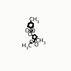 COC(=O)C1(C)CCC(OS(=O)(=O)c2ccc(C)cc2)C1